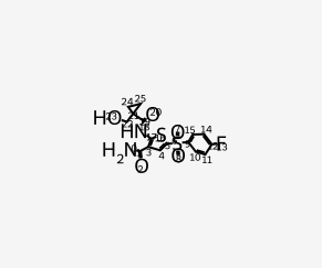 NC(=O)c1cc(S(=O)(=O)c2ccc(F)cc2)sc1NC(=O)C1(CO)CC1